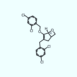 Clc1ccc(COC2=C(Cc3ccc(Cl)cc3Cl)CC3CO[C@@H]23)c(Cl)c1